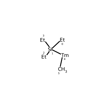 CC[Si](CC)(CC)[Tm][CH3]